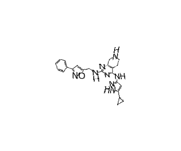 c1ccc(-c2cc(CNc3nc4c(c(Nc5cc(C6CC6)[nH]n5)n3)CCNC4)on2)cc1